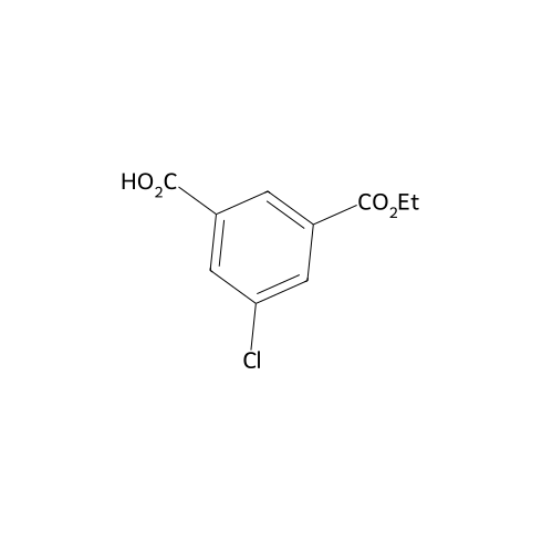 CCOC(=O)c1cc(Cl)cc(C(=O)O)c1